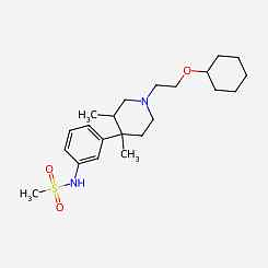 CC1CN(CCOC2CCCCC2)CCC1(C)c1cccc(NS(C)(=O)=O)c1